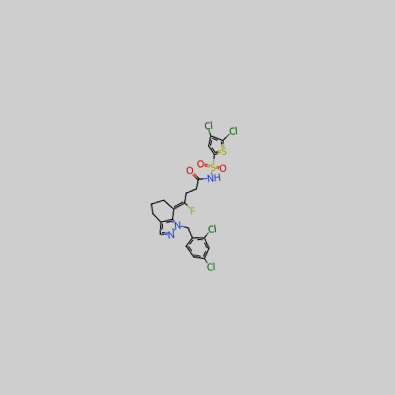 O=C(CC/C(F)=C1\CCCc2cnn(Cc3ccc(Cl)cc3Cl)c21)NS(=O)(=O)c1cc(Cl)c(Cl)s1